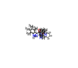 [2H]c1c([2H])c([2H])c2c(c(C(=O)NC3([2H])C([2H])([2H])C4CCCC(N4C([2H])([2H])[2H])C3([2H])[2H])nn2C)c1[2H]